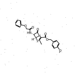 COc1ccc(COC(=O)C2=C(C)S[C@H]3[C@H](NC(=O)COc4ccccc4)C(=O)N23)cc1